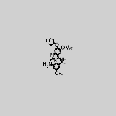 COc1cc2c(N[C@H](C)c3cc(N)cc(C(F)(F)F)c3)nc(C)nc2cc1OC1CCOCC1